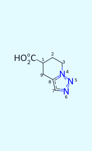 O=C(O)C1CCn2nncc2C1